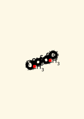 CC1(C2(C)CCC3SC4CC(C)(C5(C)CCCCCCC5)CCCC4C3CC2)CCCCCCC1